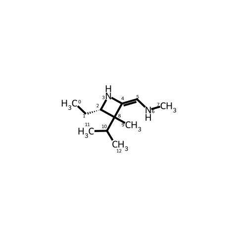 CC[C@@H]1N/C(=C/NC)C1(C)C(C)C